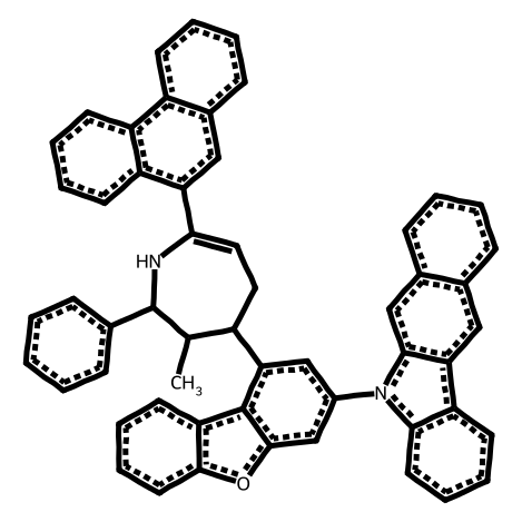 CC1C(c2cc(-n3c4ccccc4c4cc5ccccc5cc43)cc3oc4ccccc4c23)CC=C(c2cc3ccccc3c3ccccc23)NC1c1ccccc1